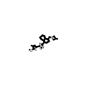 COc1sc(-c2nc(-c3ccc(CN4CC(C)C4)c4ccccc34)no2)cc1C